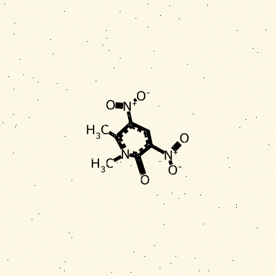 Cc1c([N+](=O)[O-])cc([N+](=O)[O-])c(=O)n1C